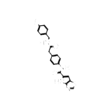 O=C(Cc1ccc(NC(=O)c2cc3scnc3[nH]2)cc1)NCc1ccc(F)cc1